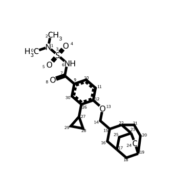 CN(C)S(=O)(=O)NC(=O)c1ccc(OCC2CC3CC4CCC2C(C4)C3)c(C2CC2)c1